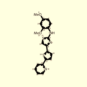 COc1ccc(Nc2nc(-c3ccc(-c4ccccn4)s3)cs2)c(OC)c1